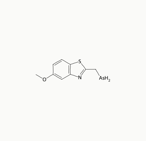 COc1ccc2sc(C[AsH2])nc2c1